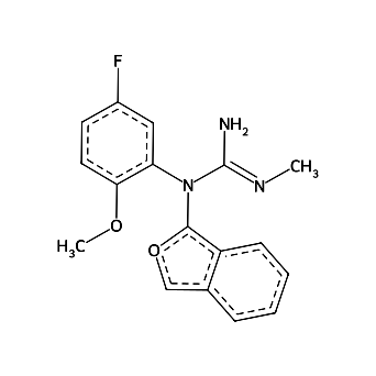 CN=C(N)N(c1cc(F)ccc1OC)c1occ2ccccc12